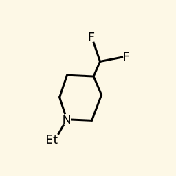 CCN1CCC(C(F)F)CC1